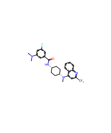 CN(C)c1cc(F)cc(C(=O)N[C@H]2CC[C@@H](N(C)c3cc(C(F)(F)F)nc4ccccc34)CC2)c1